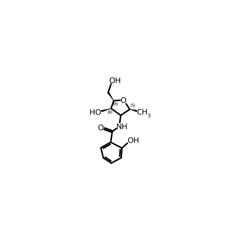 C[C@@H]1O[C@H](CO)[C@H](O)C1NC(=O)c1ccccc1O